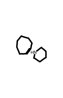 C1=CCCCCCC1.C1CCNCC1